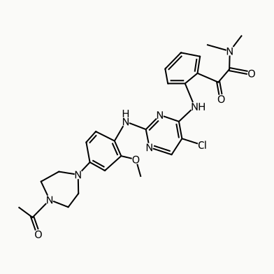 COc1cc(N2CCN(C(C)=O)CC2)ccc1Nc1ncc(Cl)c(Nc2ccccc2C(=O)C(=O)N(C)C)n1